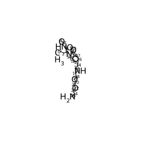 CCCC(C(=O)NC=O)N1Cc2cc(CCNCCOCCOCCN)ccc2C1=O